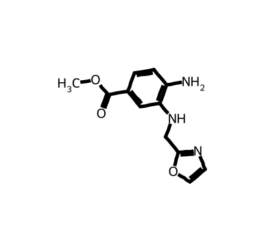 COC(=O)c1ccc(N)c(NCc2ncco2)c1